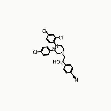 N#Cc1ccc([C@H](O)CN2CCN(c3ccc(Cl)cc3Cl)[C@H](c3ccc(Cl)cc3)C2)cc1